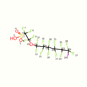 O=S(=O)(O)C(F)(F)C(F)(F)OC(F)(F)C(F)(F)C(F)(F)C(F)(F)C(F)(F)C(F)(F)I